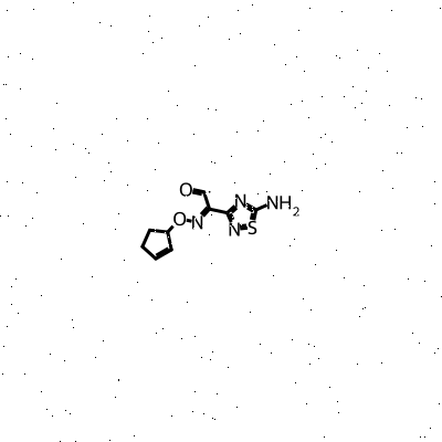 Nc1nc(C([C]=O)=NOC2C=CCC2)ns1